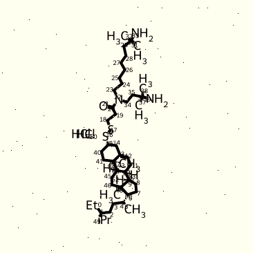 CCC(CCC(C)[C@H]1CC[C@H]2[C@@H]3CC=C4C[C@@H](SSCCC(=O)N(CCCCCCCC(C)(C)N)CCC(C)(C)N)CC[C@]4(C)[C@H]3CC[C@]12C)C(C)C.Cl.Cl